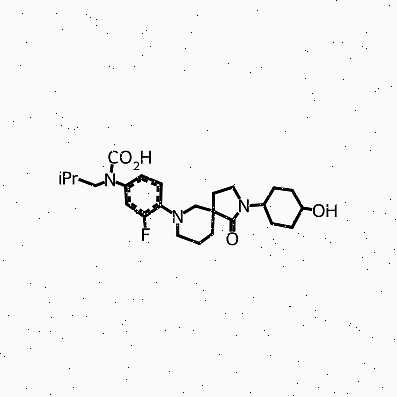 CC(C)CN(C(=O)O)c1ccc(N2CCCC3(CCN(C4CCC(O)CC4)C3=O)C2)c(F)c1